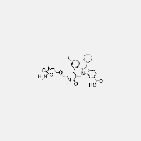 CCc1ccc2c(c1)C=C(C(=O)N(C)CCOCCN(C)S(N)(=O)=O)Cn1c-2c(C2CCCCC2)c2ccc(C(=O)O)cc21